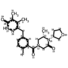 Cc1c(Cc2ccc(F)c(C(=O)N3CC(=O)N([C@@H]4CCOC4)[C@@H](C)C3)c2)n[nH]c(=O)c1C